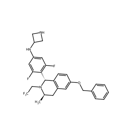 C[C@@H]1Cc2cc(OCc3ccccc3)ccc2[C@@H](c2c(F)cc(NC3CNC3)cc2F)N1CC(F)(F)F